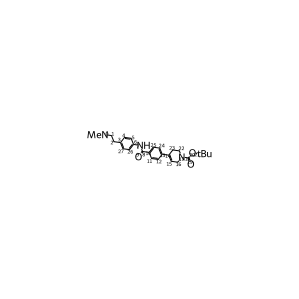 CNCCc1ccc(NC(=O)c2ccc(C3=CCN(C(=O)OC(C)(C)C)CC3)cc2)cc1